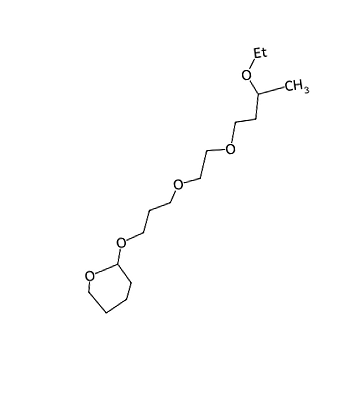 CCOC(C)CCOCCOCCCOC1CCCCO1